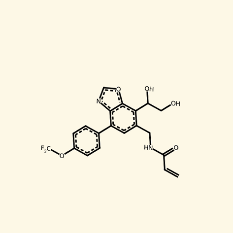 C=CC(=O)NCc1cc(-c2ccc(OC(F)(F)F)cc2)c2ncoc2c1C(O)CO